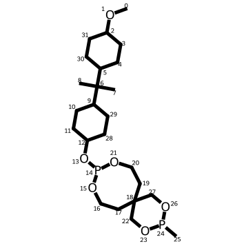 COC1CCC(C(C)(C)C2CCC(OP3OCCC4(CCO3)COP(C)OC4)CC2)CC1